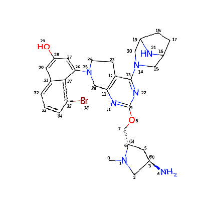 CN1C[C@H](N)C[C@H]1COc1nc2c(c(N3CC4CCC(C3)N4)n1)CCN(c1cc(O)cc3cccc(Br)c13)C2